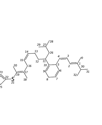 C/C(=C\C=C/C1C=CCC=C1C(CC/C=C\C/C(C)=C(\C)SC1=C=CC1)CC(C)C)C(C)C